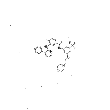 Cc1ccc(C(=O)Nc2cc(OCCN3CCOCC3)cc(C(F)(F)F)c2)cc1Nc1ncccc1-c1ccncn1